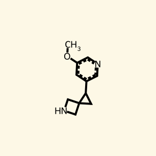 COc1cncc(C2CC23CNC3)c1